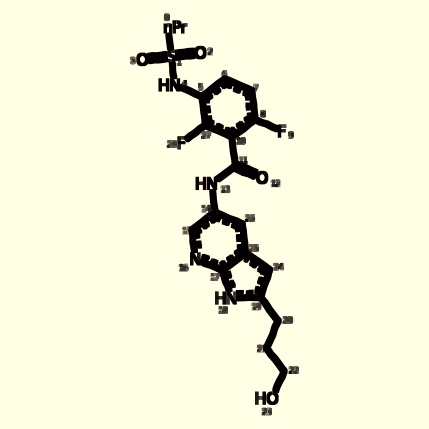 CCCS(=O)(=O)Nc1ccc(F)c(C(=O)Nc2cnc3[nH]c(CCCO)cc3c2)c1F